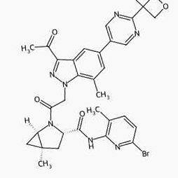 CC(=O)c1nn(CC(=O)N2[C@H](C(=O)Nc3nc(Br)ccc3C)C[C@@]3(C)C[C@@H]23)c2c(C)cc(-c3cnc(C4(F)COC4)nc3)cc12